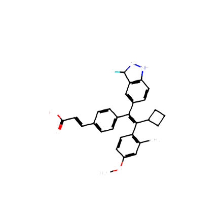 COc1ccc(/C(=C(\c2ccc(/C=C/C(=O)O)cc2)c2ccc3c(c2)C(F)NN3)C2CCC2)c(C)c1